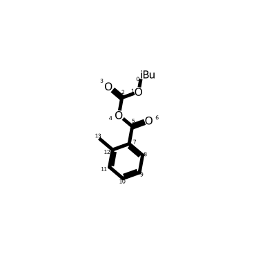 CCC(C)OC(=O)OC(=O)c1ccccc1C